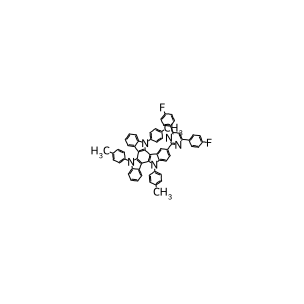 Cc1ccc(-n2c3ccccc3c3c2c2c4ccccc4n(-c4ccc(C)cc4)c2c2c4cc(-c5nc(-c6ccc(F)cc6)cc(-c6ccc(F)cc6)n5)ccc4n(-c4ccc(C)cc4)c32)cc1